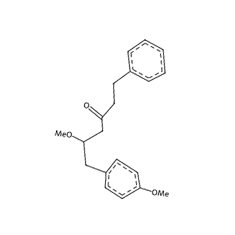 COc1ccc(CC(CC(=O)CCc2ccccc2)OC)cc1